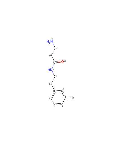 Cc1cccc(CCNC(=O)CCN)c1